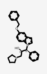 O[C@H](CN1CCCC1)[C@H](c1ccccc1)n1ccc2cc(OCc3ccccc3)ccc21